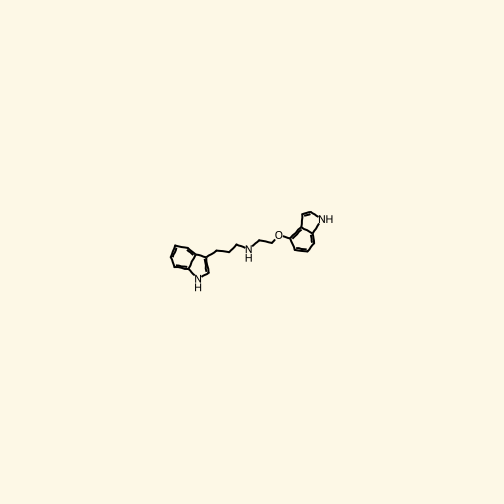 c1ccc2c(CCCNCCOc3cccc4[nH]ccc34)c[nH]c2c1